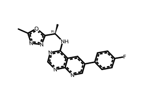 Cc1nnc([C@@H](C)Nc2ncnc3ncc(-c4ccc(F)cc4)cc23)o1